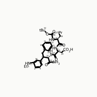 CCNc1cccc(C(Cc2ccccc2)[C@H](NC(=O)[C@H](CC(=O)O)NC(=O)[C@H](CC(C)C)NC(=O)OC(C)(C)C)C(N)=O)c1